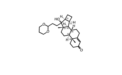 C[C@]12CCC(=O)C=C1CC[C@H]1[C@@H]3[C@@H]4CC[C@@H]4[C@@](O)(CCC4OCCCO4)[C@@]3(C)CC[C@@H]12